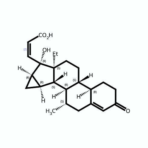 CC[C@]12CC[C@H]3[C@H]([C@@H]1[C@H]1C[C@H]1[C@@]2(O)/C=C\C(=O)O)[C@@H](C)CC1=CC(=O)CC[C@@H]13